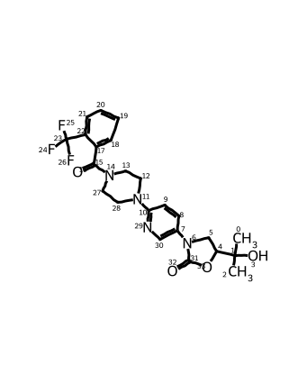 CC(C)(O)C1CN(c2ccc(N3CCN(C(=O)c4ccccc4C(F)(F)F)CC3)nc2)C(=O)O1